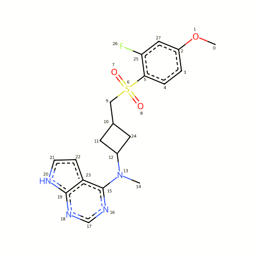 COc1ccc(S(=O)(=O)CC2CC(N(C)c3ncnc4[nH]ccc34)C2)c(F)c1